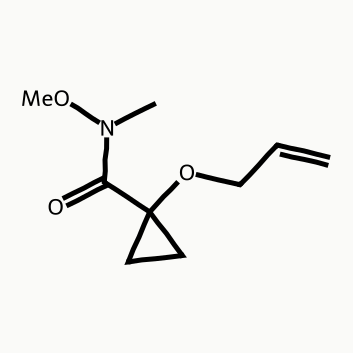 C=CCOC1(C(=O)N(C)OC)CC1